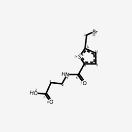 O=C(O)CCNC(=O)c1ccc(CBr)s1